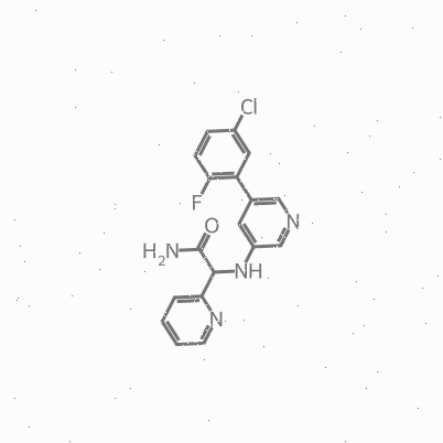 NC(=O)C(Nc1cncc(-c2cc(Cl)ccc2F)c1)c1ccccn1